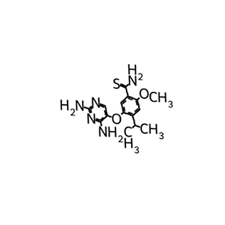 COc1cc(C(C)C)c(Oc2cnc(N)nc2N)cc1C(N)=S